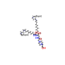 CCCCC/C=C\C/C=C\CCCCCCCCOC(=O)[C@H](CNC(=O)CN1CCN(CCO)CC1)NC(=O)CCCCCCC/C=C\C/C=C\CCCCC